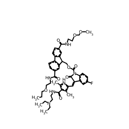 CCCOCCNC(=O)c1ccc2c(c1)C(COC(=O)N1C(=O)/C(=C\c3[nH]c(C)c(C(=O)NCCN(CC)CC)c3C)c3cc(F)ccc31)c1cc(C(=O)NCCOCOC)ccc1-2